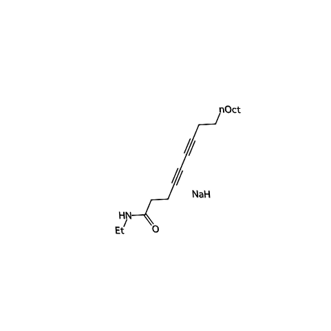 [CH2]CNC(=O)CCC#CC#CCCCCCCCCCC.[NaH]